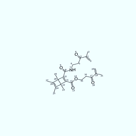 C=C(C)C(=O)CCNC(=O)C1=C(C(=O)OCCC(=O)C(=C)C)C2(C)C(C)=C(C)C12C